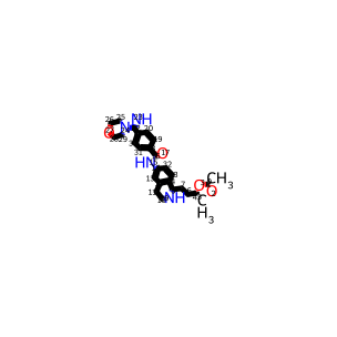 CC(=O)OC(C)CCC1NCCc2cc(NC(=O)c3ccc(C(=N)N4CCOCC4)cc3)ccc21